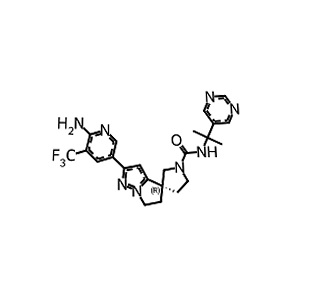 CC(C)(NC(=O)N1CC[C@@]2(CCn3nc(-c4cnc(N)c(C(F)(F)F)c4)cc32)C1)c1cncnc1